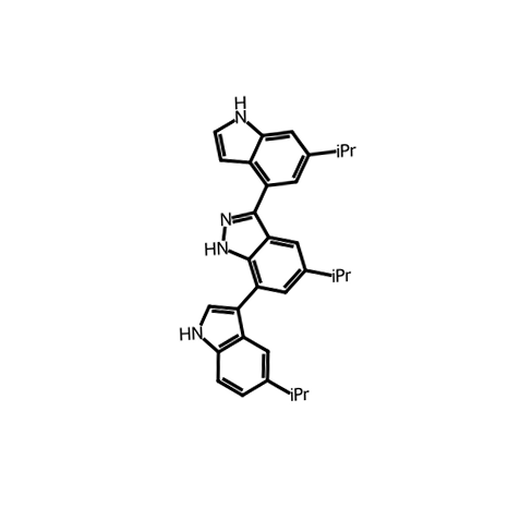 CC(C)c1cc(-c2n[nH]c3c(-c4c[nH]c5ccc(C(C)C)cc45)cc(C(C)C)cc23)c2cc[nH]c2c1